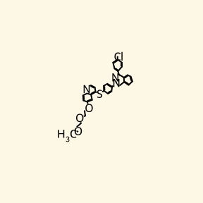 COCCOCCOc1ccc2nccc(Sc3ccc(N4Cc5ccccc5C(c5ccc(Cl)cc5)=N4)cc3)c2c1